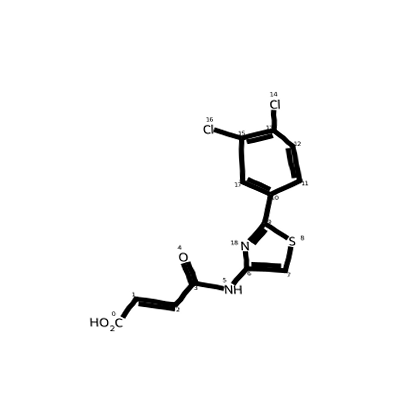 O=C(O)/C=C/C(=O)Nc1csc(-c2ccc(Cl)c(Cl)c2)n1